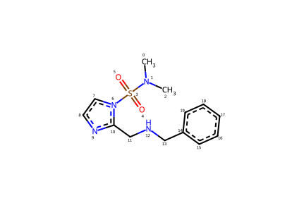 CN(C)S(=O)(=O)n1ccnc1CNCc1ccccc1